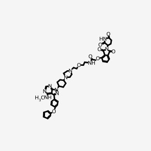 CNc1ncnc2c1c(-c1ccc(Oc3ccccc3)cc1)nn2C1CCC(N2CCN(CCOCCNC(=O)COc3cccc4c3C(=O)N(C3CCC(=O)NC3=O)C4=O)CC2)CC1